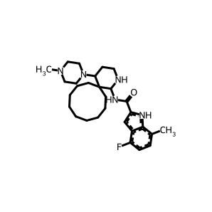 Cc1ccc(F)c2cc(C(=O)NC3NCCC(N4CCN(C)CC4)C34CCCCCCCCC4)[nH]c12